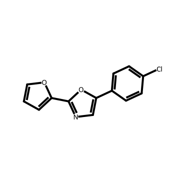 Clc1ccc(-c2cnc(-c3ccco3)o2)cc1